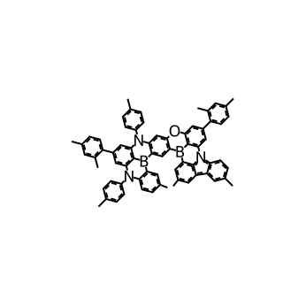 Cc1ccc(N2c3ccc(C)cc3B3c4cc5c(cc4N(c4ccc(C)cc4)c4cc(-c6ccc(C)cc6C)cc2c43)Oc2cc(-c3ccc(C)cc3C)cc3c2B5c2cc(C)cc4c5cc(C)ccc5n-3c24)cc1